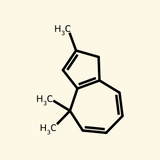 CC1=CC2=C(C=CC=CC2(C)C)C1